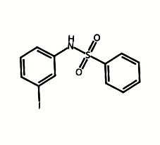 O=S(=O)(Nc1cccc(I)c1)c1ccccc1